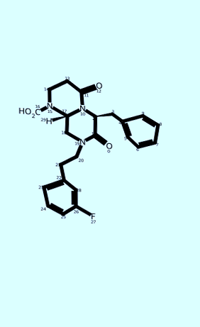 O=C1[C@H](Cc2ccccc2)N2C(=O)CCN(C(=O)O)[C@H]2CN1CCc1cccc(F)c1